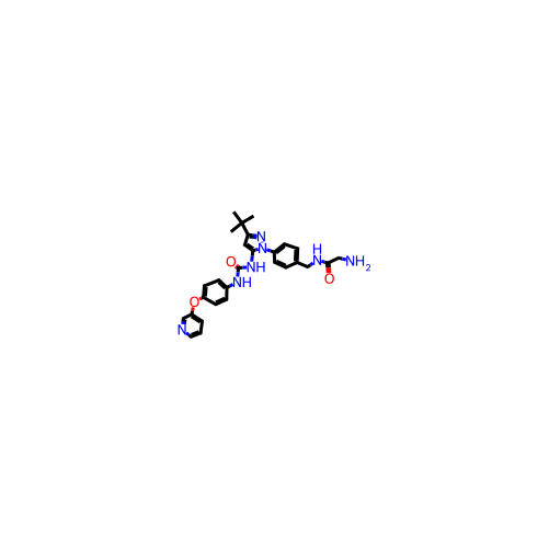 CC(C)(C)c1cc(NC(=O)Nc2ccc(Oc3cccnc3)cc2)n(-c2ccc(CNC(=O)CN)cc2)n1